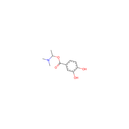 CC(OC(=O)c1ccc(O)c(O)c1)N(C)C